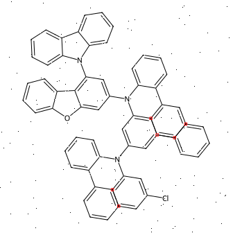 Clc1cccc(N(c2cc(-c3ccccc3)cc(N(c3cc(-n4c5ccccc5c5ccccc54)c4c(c3)oc3ccccc34)c3ccccc3-c3ccccc3)c2)c2ccccc2-c2ccccc2)c1